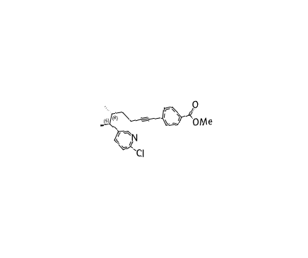 COC(=O)c1ccc(C#CCC[C@@H](C)[C@H](C)c2ccc(Cl)nc2)cc1